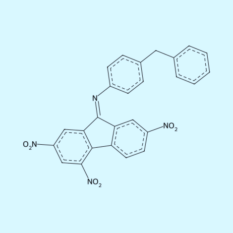 O=[N+]([O-])c1ccc2c(c1)C(=Nc1ccc(Cc3ccccc3)cc1)c1cc([N+](=O)[O-])cc([N+](=O)[O-])c1-2